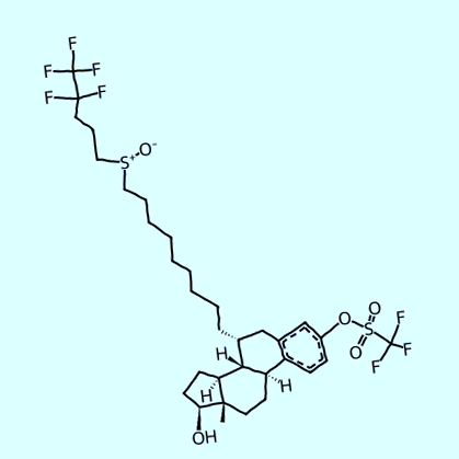 C[C@]12CC[C@@H]3c4ccc(OS(=O)(=O)C(F)(F)F)cc4C[C@@H](CCCCCCCCC[S+]([O-])CCCC(F)(F)C(F)(F)F)[C@H]3[C@@H]1CC[C@@H]2O